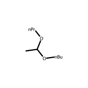 C[CH]CCOC(C)OCCC